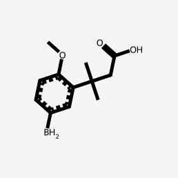 Bc1ccc(OC)c(C(C)(C)CC(=O)O)c1